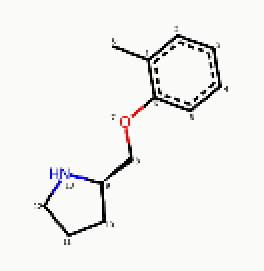 Cc1ccccc1OC[C@H]1CCCN1